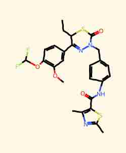 CCC1SC(=O)N(Cc2ccc(NC(=O)c3sc(C)nc3C)cc2)N=C1c1ccc(OC(F)F)c(OC)c1